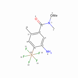 CON(C)C(=O)c1cc(N)c(S(F)(F)(F)(F)F)cc1C